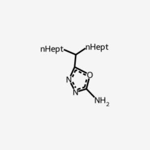 CCCCCCCC(CCCCCCC)c1nnc(N)o1